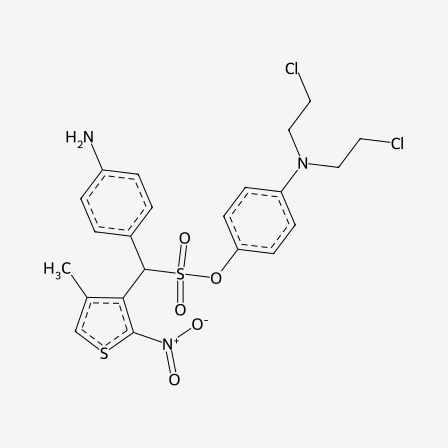 Cc1csc([N+](=O)[O-])c1C(c1ccc(N)cc1)S(=O)(=O)Oc1ccc(N(CCCl)CCCl)cc1